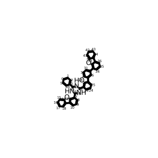 c1ccc(C2NC(c3cccc4c3oc3ccccc34)NC(c3cccc4c3oc3ccc(-c5cccc6c5oc5ccccc56)cc34)N2)cc1